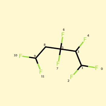 F[C](F)C(F)C(F)(F)CC(F)F